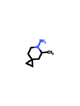 CC1CC2(CCN1N)CC2